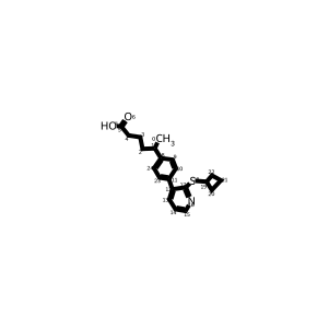 CC(CCCC(=O)O)c1ccc(-c2cccnc2SC2CCC2)cc1